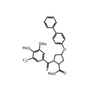 COC(=O)C1CC(Oc2ccc(-c3ccccc3)cc2)CN1C(=S)c1cc(OC)c(OC)c(C(F)(F)F)c1